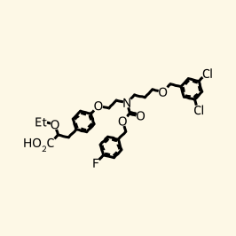 CCOC(Cc1ccc(OCCN(CCCOCc2cc(Cl)cc(Cl)c2)C(=O)OCc2ccc(F)cc2)cc1)C(=O)O